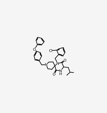 CC(C)CC1NC(=O)C2(CCN(Cc3ccc(Oc4ccccc4)cc3)CC2)N(Cc2ccccc2Cl)C1=O